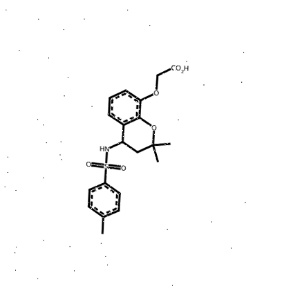 Cc1ccc(S(=O)(=O)NC2CC(C)(C)Oc3c(OCC(=O)O)cccc32)cc1